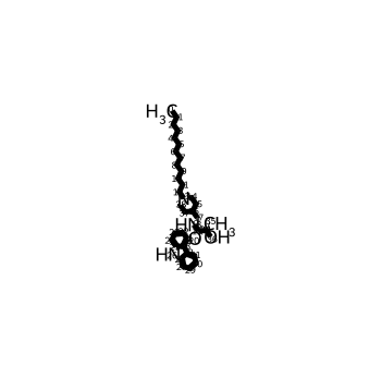 CCCCCCCCCCCCCN1CCC(CNC(Oc2cccc3[nH]c4ccccc4c23)[C@H](C)O)CC1